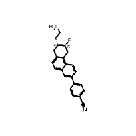 CCC[C@H]1Cc2ccc3cc(-c4ccc(C#N)cc4)ccc3c2C[C@@H]1F